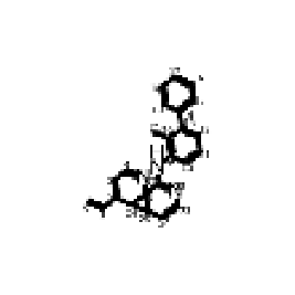 C=CC1=CC=NC23C(Nc4cccc(-c5ccccc5)c4C)=NC=CC2C13